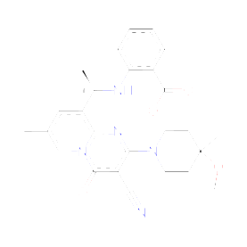 COC1(C)CCN(c2nc3c([C@@H](C)Nc4ccccc4C(=O)O)cc(C)cn3c(=O)c2C#N)CC1